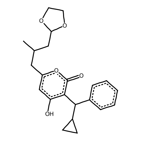 CC(Cc1cc(O)c(C(c2ccccc2)C2CC2)c(=O)o1)CC1OCCO1